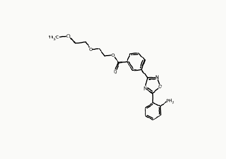 COCCOCCOC(=O)c1cccc(-c2noc(-c3ccccc3P)n2)c1